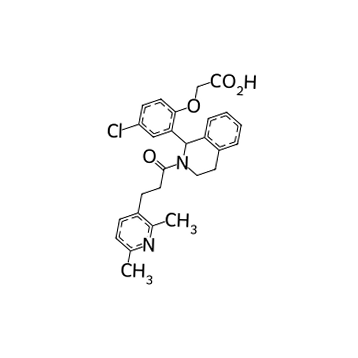 Cc1ccc(CCC(=O)N2CCc3ccccc3C2c2cc(Cl)ccc2OCC(=O)O)c(C)n1